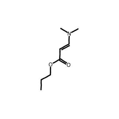 CCCOC(=O)C=CN(C)C